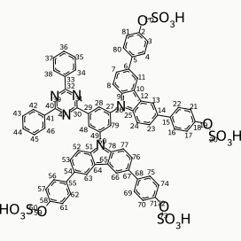 O=S(=O)(O)Oc1ccc(-c2ccc3c(c2)c2cc(-c4ccc(OS(=O)(=O)O)cc4)ccc2n3-c2cc(-c3nc(-c4ccccc4)nc(-c4ccccc4)n3)cc(-n3c4ccc(-c5ccc(OS(=O)(=O)O)cc5)cc4c4cc(-c5ccc(OS(=O)(=O)O)cc5)ccc43)c2)cc1